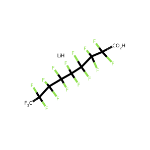 O=C(O)C(F)(F)C(F)(F)C(F)(F)C(F)(F)C(F)(F)C(F)(F)C(F)(F)C(F)(F)F.[LiH]